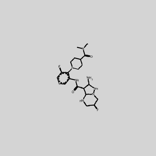 CN(C)C(=O)C1CCN(c2c(F)cncc2NC(=O)C2C(N)NN3CC(F)CNC23)CC1